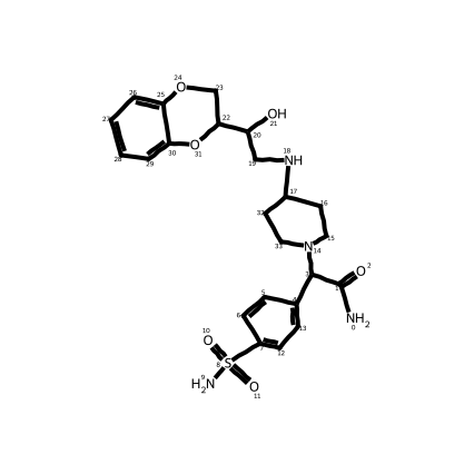 NC(=O)C(c1ccc(S(N)(=O)=O)cc1)N1CCC(NCC(O)C2COc3ccccc3O2)CC1